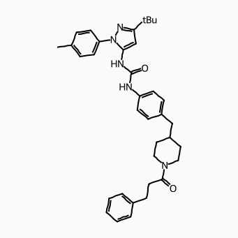 Cc1ccc(-n2nc(C(C)(C)C)cc2NC(=O)Nc2ccc(CC3CCN(C(=O)CCc4ccccc4)CC3)cc2)cc1